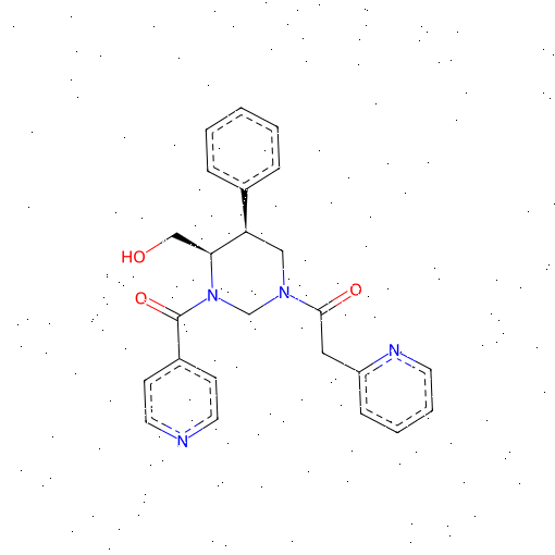 O=C(Cc1ccccn1)N1C[C@H](c2ccccc2)[C@H](CO)N(C(=O)c2ccncc2)C1